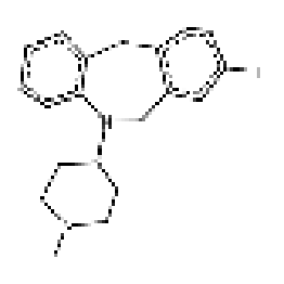 CN1CCC(N2Cc3cc(F)ccc3Cc3ccccc32)CC1